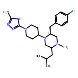 CC(C)CC1CN(C2CCN(c3nnc(N)[nH]3)CC2)[C@@H](Cc2ccc(Cl)cc2)CN1C